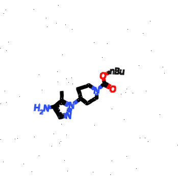 CCCCOC(=O)N1CCC(n2ncc(N)c2C)CC1